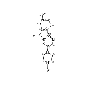 CC(=O)N1CCN(c2cnc3c(c2)c(F)c2n3CCN(C(C)C)C2)CC1